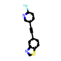 [18F]c1ccc(C#Cc2ccc3scnc3c2)cn1